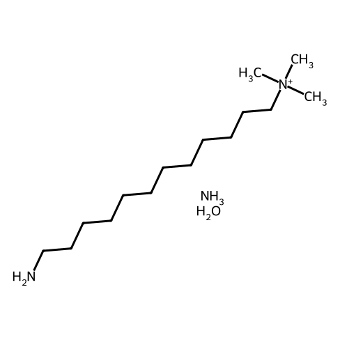 C[N+](C)(C)CCCCCCCCCCCCN.N.O